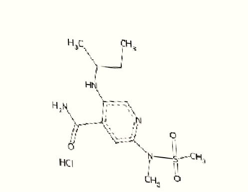 CCC(C)Nc1cnc(N(C)S(C)(=O)=O)cc1C(N)=O.Cl